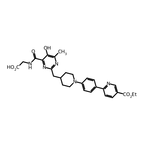 CCOC(=O)c1ccc(-c2ccc(N3CCC(Cc4nc(C)c(O)c(C(=O)NCC(=O)O)n4)CC3)cc2)nc1